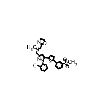 CN(Cc1cc(-c2ccc(-c3cccc(S(C)(=O)=O)c3)s2)n(-c2ccccc2Cl)n1)Cc1ncco1